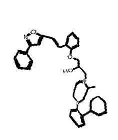 CC1CN(c2ccccc2C2CCCCC2)CCN1CC(O)COc1ccccc1C=Cc1cc(-c2ccccc2)no1